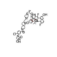 CC(C)[Si](C#Cc1c(F)ccc2cc(O)cc(-c3ncc4c(N5CCC[C@@](C)(O)C5)nc(OCC5(CN6CCN(CCC7CCC8(CC7)CCN(C(=O)c7ccc(Cl)c(N9CCC(=O)NC9=O)c7)CC8)CC6)CC5)nc4c3F)c12)(C(C)C)C(C)C